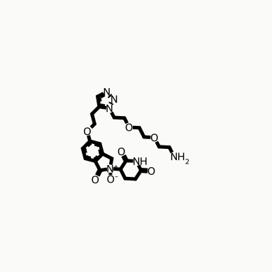 NCCOCCOCCn1nncc1CCOc1ccc2c(c1)C[N+]([O-])(C1CCC(=O)NC1=O)C2=O